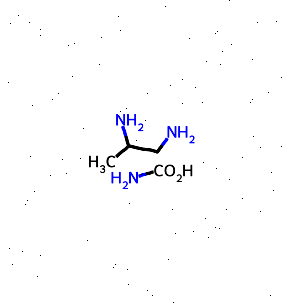 CC(N)CN.NC(=O)O